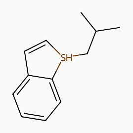 CC(C)C[SH]1C=Cc2ccccc21